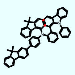 CC1(C)c2ccccc2-c2ccc(-c3ccc(N(c4ccccc4-c4cccc5c6ccccc6n(-c6ccccc6)c45)c4cccc5c4-c4ccccc4C5(C)C)cc3)cc21